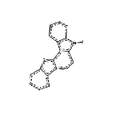 In1c2ccccc2c2c3sc4ccccc4c3ccc21